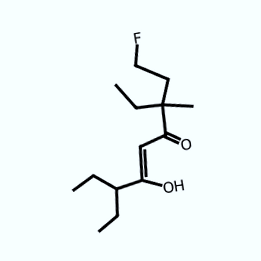 CCC(CC)/C(O)=C/C(=O)C(C)(CC)CCF